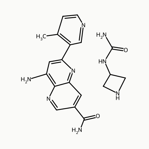 Cc1ccncc1-c1cc(N)c2ncc(C(N)=O)cc2n1.NC(=O)NC1CNC1